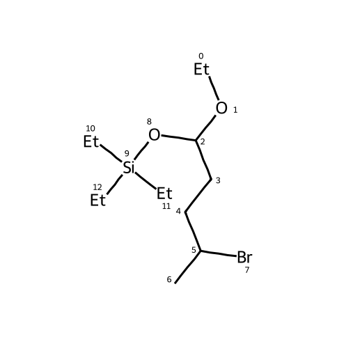 CCOC(CCC(C)Br)O[Si](CC)(CC)CC